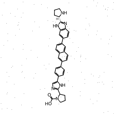 O=C(O)N1CCCC1c1ncc(-c2ccc(-c3ccc4cc(-c5ccc6nc([C@@H]7CCCN7)[nH]c6c5)ccc4c3)cc2)[nH]1